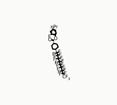 CCCc1ccc(OC(=O)[C@H]2CC[C@H](C(F)(F)C(F)(F)C(F)(F)C(F)(F)C(F)(F)C(F)(F)C(F)(F)C(F)(F)C(F)(F)F)CC2)c(F)c1